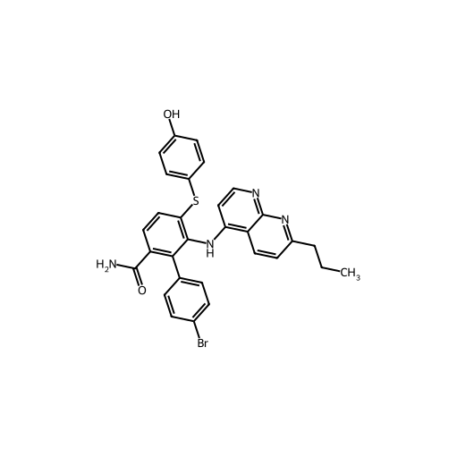 CCCc1ccc2c(Nc3c(Sc4ccc(O)cc4)ccc(C(N)=O)c3-c3ccc(Br)cc3)ccnc2n1